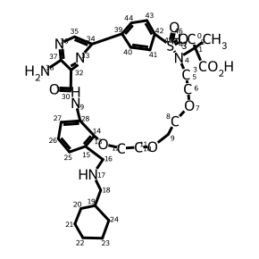 CC(C)(C(=O)O)N1CCOCCOCCOc2c(CNCC3CCCCC3)cccc2NC(=O)c2nc(cnc2N)-c2ccc(cc2)S1(=O)=O